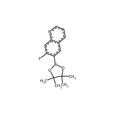 CC1(C)OB(c2cc3cccnc3cc2F)OC1(C)C